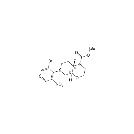 CC(C)(C)OC(=O)N1CCO[C@H]2CN(c3c(Br)cncc3[N+](=O)[O-])CC[C@@H]21